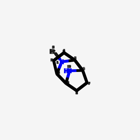 CCN1C2CCC1C1CCC2N1